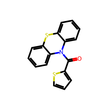 O=C(c1cccs1)N1c2ccccc2Sc2ccccc21